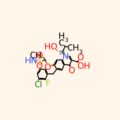 CNS(=O)(=O)COc1cc2c(cc1Cc1cccc(Cl)c1F)c(=O)c(C(=O)O)cn2[C@H](CO)C(C)C